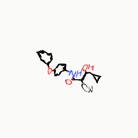 N#CC(C(=O)Nc1ccc(Oc2ccccc2)cc1)=C(O)C1CC1